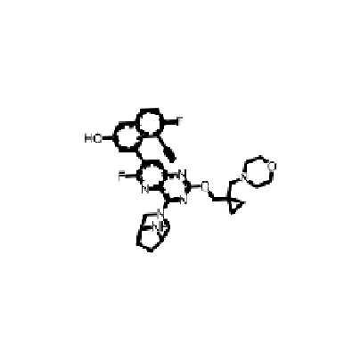 C#Cc1c(F)ccc2cc(O)cc(-c3cc4nc(OCC5(CN6CCOCC6)CC5)nc(N5CC6CCC(C5)N6)c4nc3F)c12